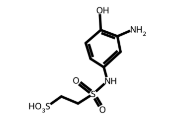 Nc1cc(NS(=O)(=O)CCS(=O)(=O)O)ccc1O